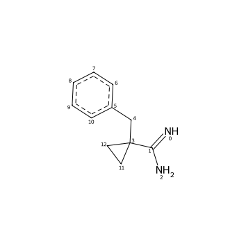 N=C(N)C1(Cc2ccccc2)CC1